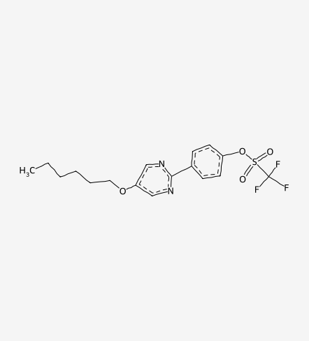 CCCCCCOc1cnc(-c2ccc(OS(=O)(=O)C(F)(F)F)cc2)nc1